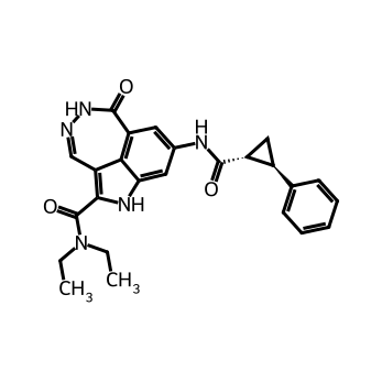 CCN(CC)C(=O)c1[nH]c2cc(NC(=O)[C@@H]3C[C@H]3c3ccccc3)cc3c2c1C=NNC3=O